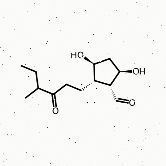 CCC(C)C(=O)CC[C@H]1[C@@H](C=O)[C@H](O)C[C@@H]1O